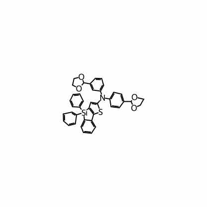 c1ccc([Si]2(c3ccccc3)c3ccccc3-c3sc(N(c4ccc(C5OCCO5)cc4)c4cccc(C5OCCO5)c4)cc32)cc1